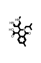 CN/C=C(\C=N)C1C(C(=O)O)c2ccc(C)cc2C(=O)N1CC(C)C